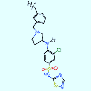 CCN(c1ccc(S(=O)(=O)Nc2ncns2)cc1Cl)C1CCN(Cc2cccc(C)c2)C1